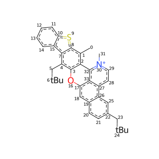 Cc1c2c(c(CC(C)(C)C)c3c1sc1ccccc13)Oc1cc3ccc(CC(C)(C)C)cc3c3cc[n+](C)c-2c13